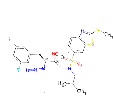 CSc1nc2ccc(S(=O)(=O)N(CC(C)C)C[C@@H](O)[C@H](Cc3cc(F)cc(F)c3)N=[N+]=[N-])cc2s1